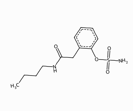 CCCCNC(=O)Cc1ccccc1OS(N)(=O)=O